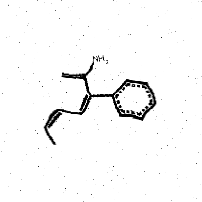 C=C(N)/C(=C\C=C/C)c1ccccc1